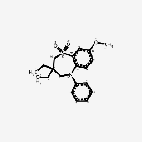 CCC1(CC)CN(c2ccccc2)c2ccc(OC)cc2S(=O)(=O)C1